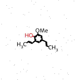 CC=Cc1cc(C=CC)c(O)c(OC)c1